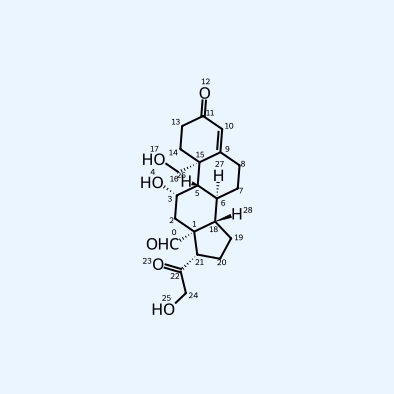 O=C[C@]12C[C@H](O)[C@H]3[C@@H](CCC4=CC(=O)CC[C@@]43CO)[C@@H]1CC[C@@H]2C(=O)CO